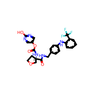 O=C(N[C@@]1(C(=O)NCc2ccc(Nc3ccccc3C(F)(F)F)cc2)CCOC1)Oc1cnc(O)nc1